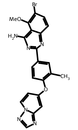 COc1c(Br)ccc2nc(-c3ccc(Oc4ccn5ncnc5c4)c(C)c3)nc(N)c12